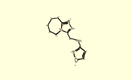 c1cc(NCc2nnc3n2CCCCC3)no1